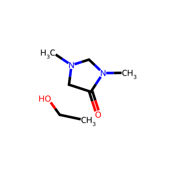 CCO.CN1CC(=O)N(C)C1